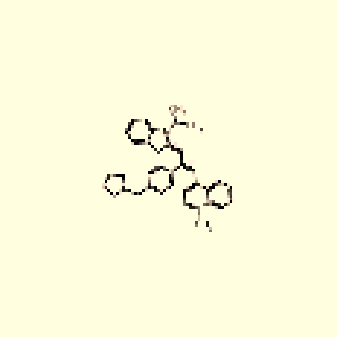 CC(C)N1/C(=C/C(=C/c2cc[n+](C)c3ccccc23)c2ccc(CN3CCCC3)cc2)Sc2ccccc21